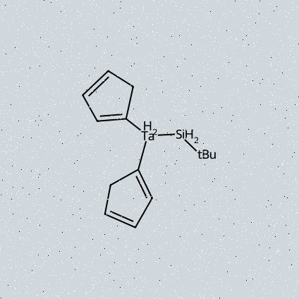 CC(C)(C)[SiH2][TaH2]([C]1=CC=CC1)[C]1=CC=CC1